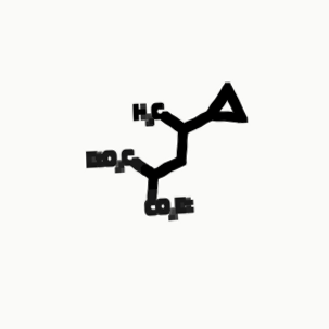 CCOC(=O)C(CC(C)C1CC1)C(=O)OCC